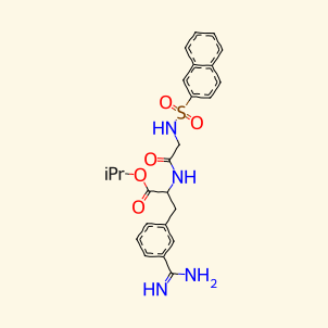 CC(C)OC(=O)C(Cc1cccc(C(=N)N)c1)NC(=O)CNS(=O)(=O)c1ccc2ccccc2c1